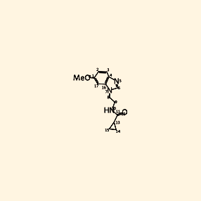 COc1ccc2ncn(CCNC(=O)C3CC3)c2c1